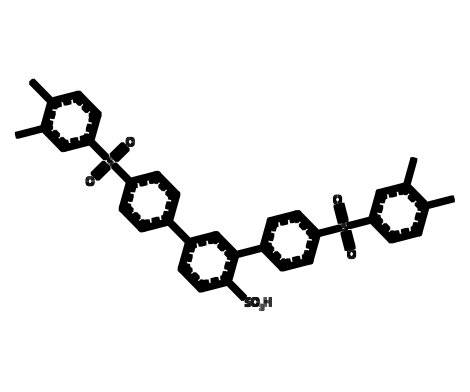 Cc1ccc(S(=O)(=O)c2ccc(-c3ccc(S(=O)(=O)O)c(-c4ccc(S(=O)(=O)c5ccc(C)c(C)c5)cc4)c3)cc2)cc1C